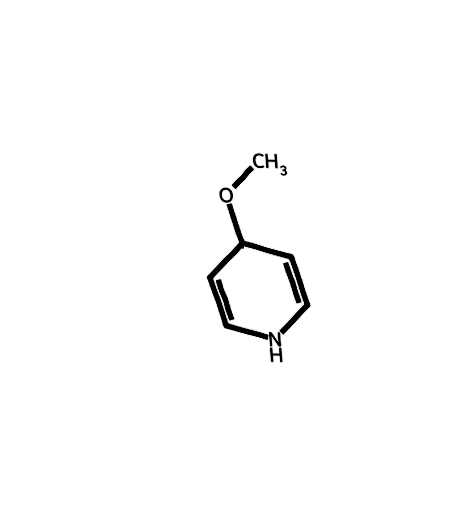 CO[C]1C=CNC=C1